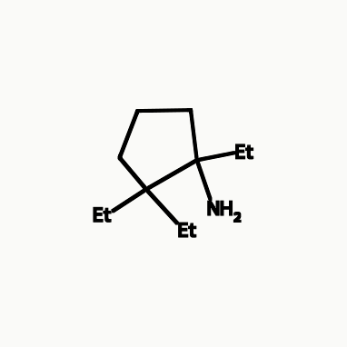 CCC1(N)CCCC1(CC)CC